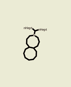 CCCCCCCC(CCCCCCC)N1CCCC2CCCCCCCC2CCC1